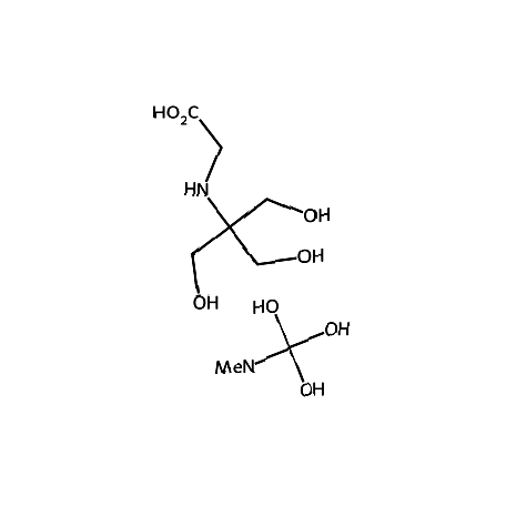 CNC(O)(O)O.O=C(O)CNC(CO)(CO)CO